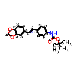 CC(C)(C)OC(=O)Nc1ccc(/C=C/c2ccc3c(c2)OCO3)cc1